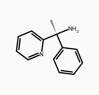 C[C@](N)(c1ccccc1)c1ccccn1